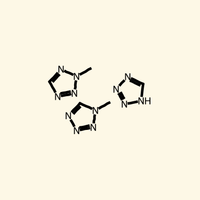 Cn1cnnn1.Cn1ncnn1.c1nnn[nH]1